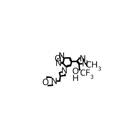 Cn1ncc(-c2cc(N3CC(CN4CCOCC4)C3)c3nonc3c2)c1C(O)C(F)(F)F